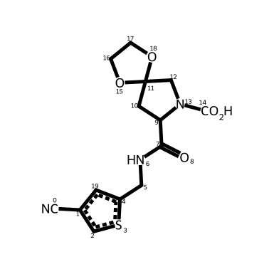 N#Cc1csc(CNC(=O)C2CC3(CN2C(=O)O)OCCO3)c1